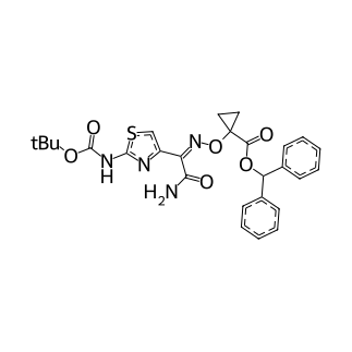 CC(C)(C)OC(=O)Nc1nc(/C(=N/OC2(C(=O)OC(c3ccccc3)c3ccccc3)CC2)C(N)=O)cs1